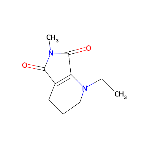 CCN1CCCC2=C1C(=O)N(C)C2=O